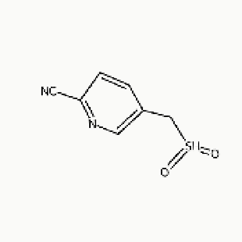 N#Cc1ccc(C[SH](=O)=O)cn1